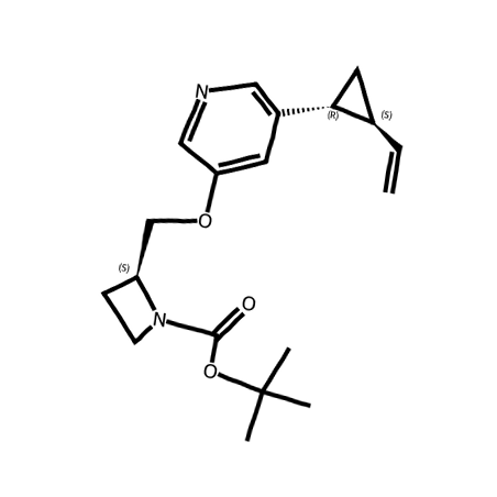 C=C[C@@H]1C[C@H]1c1cncc(OC[C@@H]2CCN2C(=O)OC(C)(C)C)c1